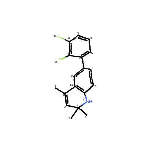 CC1=CC(C)(C)Nc2ccc(-c3cccc(F)c3F)cc21